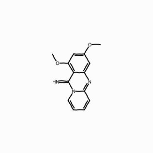 COc1cc(OC)c2c(=N)n3ccccc3nc2c1